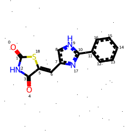 O=C1NC(=O)C(=Cc2c[nH]c(-c3ccccc3)n2)S1